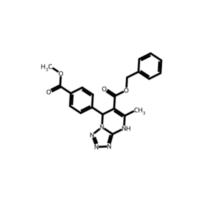 COC(=O)c1ccc(C2C(C(=O)OCc3ccccc3)=C(C)Nc3nnnn32)cc1